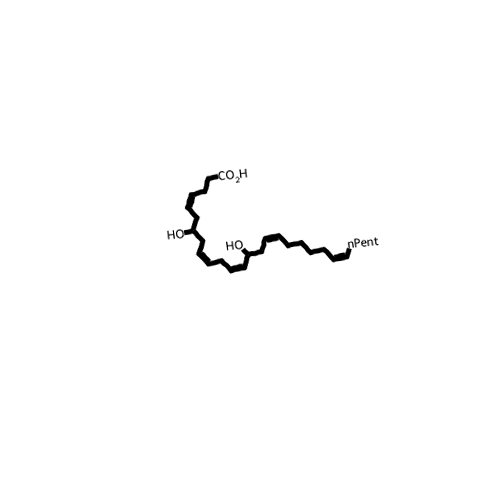 CCCCC/C=C\CCCC/C=C\CC(O)/C=C\C/C=C\CC(O)C/C=C\CCC(=O)O